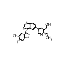 COc1ncc(-c2ccc3ncnc(N4CCc5cc(F)c(Cl)cc54)c3c2)cc1CO